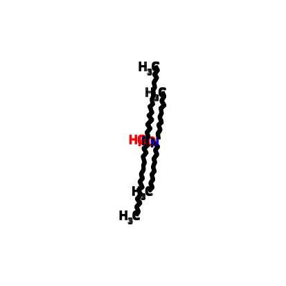 CCCCCCCCCCCCCCCCCCN(O)CCCCCCCCCCCCCCCCCC.CCCCCCCCCCCCN(O)CCCCCCCCCCCC